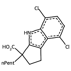 CCCCCC1(C(=O)O)CCc2c1[nH]c1c(Cl)ccc(Cl)c21